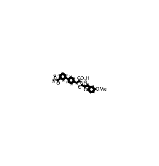 COc1ccc2oc(C(=O)N[C@@H](Cc3ccc(-c4cccc(C(=O)N(C)C)c4)cc3)C(=O)O)cc2c1